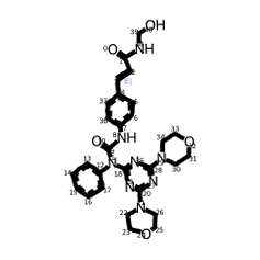 O=C(/C=C/c1ccc(NC(=O)N(c2ccccc2)c2nc(N3CCOCC3)nc(N3CCOCC3)n2)cc1)NCO